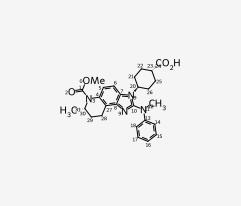 COC(=O)N1c2ccc3c(nc(N(C)c4ccccc4)n3[C@H]3CC[C@H](C(=O)O)CC3)c2CC[C@@H]1C